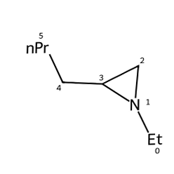 [CH2]CN1CC1CCCC